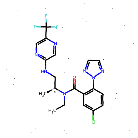 CCN(C(=O)c1cc(Cl)ccc1-n1nccn1)[C@@H](C)CNc1cnc(C(F)(F)F)cn1